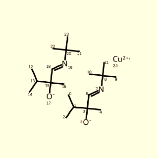 CC(C)C(C)([O-])C=NC(C)(C)C.CC(C)C(C)([O-])C=NC(C)(C)C.[Cu+2]